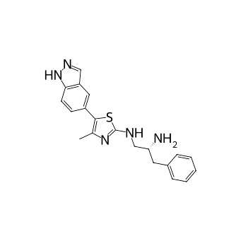 Cc1nc(NC[C@H](N)Cc2ccccc2)sc1-c1ccc2[nH]ncc2c1